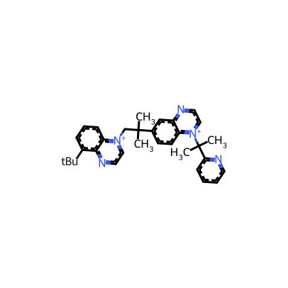 CC(C)(C)c1cccc2c1ncc[n+]2CC(C)(C)c1ccc2c(c1)ncc[n+]2C(C)(C)c1ccccn1